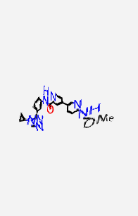 COCCNc1ccc(-c2ccnc(C(=O)Nc3cccc(-c4nncn4C4CC4)c3)c2)cn1